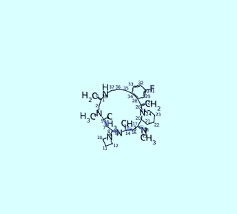 C=C1CN(C)/C(C)=C/C(N2CCC2)=N\C(C)=C\C(=N/C)C2CCCCN2C(=C)c2cc(F)ccc2CCCN1